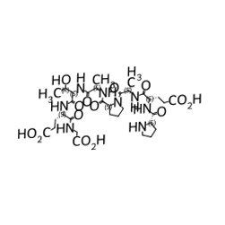 C[C@H](NC(=O)[C@@H]1CCCN1C(=O)[C@H](C)NC(=O)[C@H](CCC(=O)O)NC(=O)[C@@H]1CCCN1)C(=O)N[C@H](C(=O)N[C@@H](CCC(=O)O)C(=O)NCC(=O)O)[C@@H](C)O